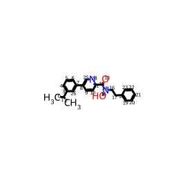 CC(C)c1cccc(-c2ccc(C(=O)N(O)CCc3ccccc3)nc2)c1